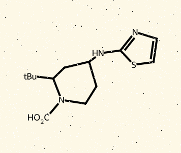 CC(C)(C)C1CC(Nc2nccs2)CCN1C(=O)O